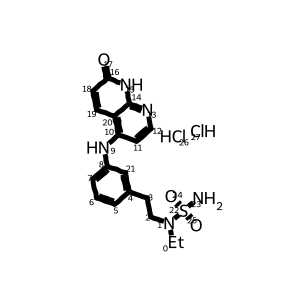 CCN(CCc1cccc(Nc2ccnc3[nH]c(=O)ccc23)c1)S(N)(=O)=O.Cl.Cl